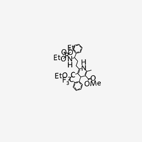 CCOC(=O)C1=C(CCC(NP(=O)(OCC)OCC)c2ccccc2)NC(C)=C(C(=O)OC)C1c1ccccc1C(F)(F)F